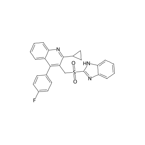 O=S(=O)(Cc1c(C2CC2)nc2ccccc2c1-c1ccc(F)cc1)c1nc2ccccc2[nH]1